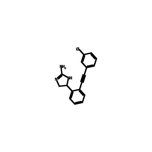 NC1=NCC(c2ccccc2C#Cc2cccc(Cl)c2)N1